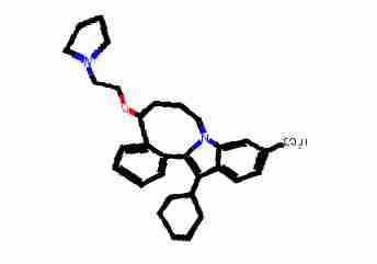 O=C(O)c1ccc2c(C3CCCCC3)c3n(c2c1)CCCC(OCCN1CCCC1)c1ccccc1-3